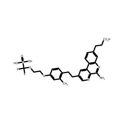 Cc1cc(OCCOC(F)(F)P(=O)(O)O)ccc1CCc1cnc2c(N)nc3cc(CCC(=O)O)ccc3c2c1